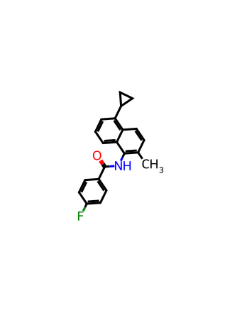 Cc1ccc2c(C3CC3)cccc2c1NC(=O)c1ccc(F)cc1